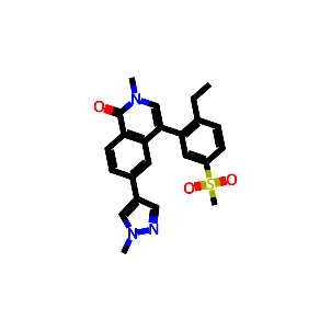 CCc1ccc(S(C)(=O)=O)cc1-c1cn(C)c(=O)c2ccc(-c3cnn(C)c3)cc12